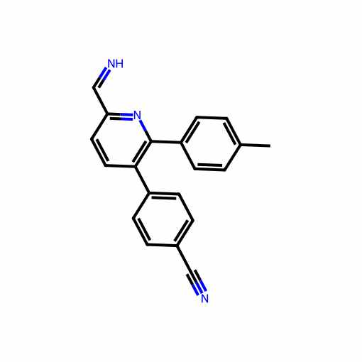 Cc1ccc(-c2nc(C=N)ccc2-c2ccc(C#N)cc2)cc1